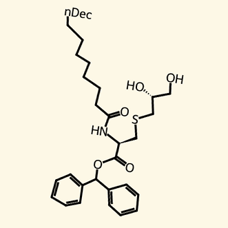 CCCCCCCCCCCCCCCCCC(=O)N[C@@H](CSC[C@H](O)CO)C(=O)OC(c1ccccc1)c1ccccc1